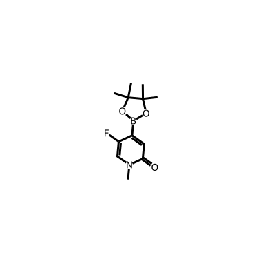 Cn1cc(F)c(B2OC(C)(C)C(C)(C)O2)cc1=O